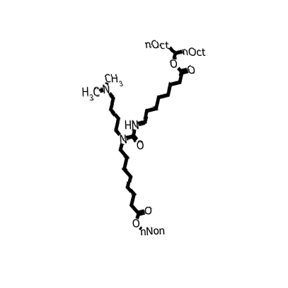 CCCCCCCCCOC(=O)CCCCCCCN(CCCCN(C)C)C(=O)NCCCCCCCC(=O)OC(CCCCCCCC)CCCCCCCC